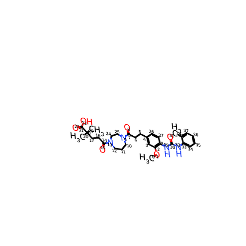 COc1cc(CCC(=O)N2CCCN(C(=O)CCC(C)(C)C(=O)O)CC2)ccc1NC(=O)Nc1ccccc1C